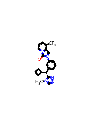 Cn1cnnc1[C@H](c1cccc(-n2cc3c(C(F)(F)F)cccn3c2=O)c1)C1CCC1